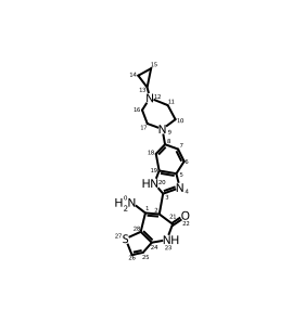 Nc1c(-c2nc3ccc(N4CCN(C5CC5)CC4)cc3[nH]2)c(=O)[nH]c2ccsc12